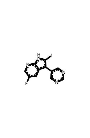 Fc1cnc2[nH]c(I)c(-c3cncnc3)c2c1